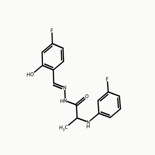 CC(Nc1cccc(F)c1)C(=O)NN=Cc1ccc(F)cc1O